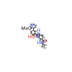 COc1ncccc1-c1ccc(O)c(-c2nc3cc(C(=O)NC4CCC4)ccc3[nH]2)c1